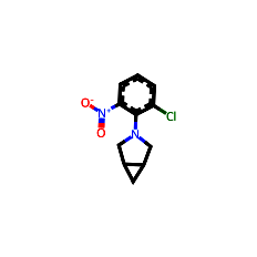 O=[N+]([O-])c1cccc(Cl)c1N1CC2CC2C1